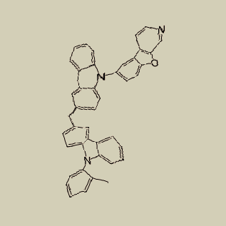 Cc1ccccc1-n1c2ccccc2c2cc(Cc3ccc4c(c3)c3ccccc3n4-c3ccc4oc5cnccc5c4c3)ccc21